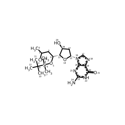 CC(C)CC(O[Si](C)(C)C(C)(C)C)[C@H]1O[C@@H](n2cnc3c(=O)[nH]c(N)nc32)C[C@@H]1O